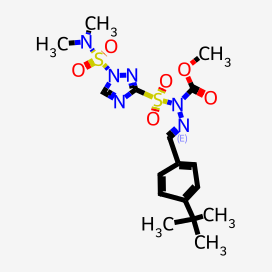 COC(=O)N(/N=C/c1ccc(C(C)(C)C)cc1)S(=O)(=O)c1ncn(S(=O)(=O)N(C)C)n1